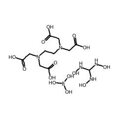 O=C(O)CN(CCN(CC(=O)O)CC(=O)O)CC(=O)O.OB(O)O.ONC(NO)NO